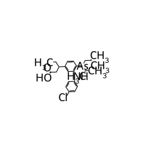 CCC(CC(=O)O)c1ccc([As](CC(C)C)C(C)C)c(Nc2ccc(Cl)cc2)c1